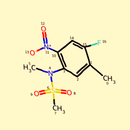 Cc1cc(N(C)S(C)(=O)=O)c([N+](=O)[O-])cc1F